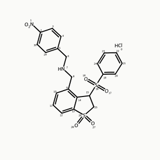 Cl.O=[N+]([O-])c1ccc(CNCc2cccc3c2C(S(=O)(=O)c2ccccc2)CS3(=O)=O)cc1